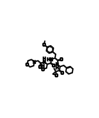 COc1ccc(CC(NC(=O)C(CO)NC(=O)CN2CCOCC2)C(=O)NC(CC2=CCCCC2)C(=O)C2(C)CO2)cc1